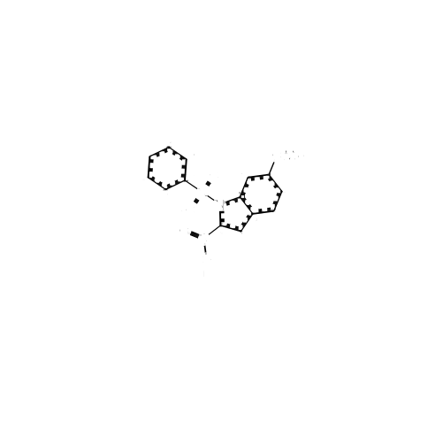 COc1ccc2cc(S(=O)[O-])n(S(=O)(=O)c3ccccc3)c2c1.[Li+]